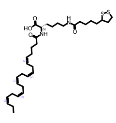 CC/C=C\C/C=C\C/C=C\C/C=C\C/C=C\CCCC(=O)N[C@@H](CCCCNC(=O)CCCCC1CCSS1)C(=O)O